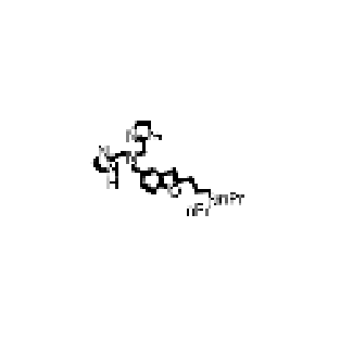 CCCN(CCC)CCCc1cc2cc(CN(Cc3ncc[nH]3)Cc3nccn3C)ccc2o1